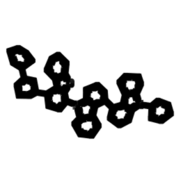 c1ccc(-c2cccc(-c3ccc(-n4c5ccccc5c5c(-c6cccc7c6c6ccccc6n7-c6ccccc6)cccc54)c4oc5ccccc5c34)c2)cc1